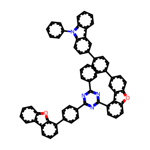 c1ccc(-c2nc(-c3ccc(-c4cccc5c4oc4ccccc45)cc3)nc(-c3cccc4oc5ccc(-c6ccc(-c7ccc8c(c7)c7ccccc7n8-c7ccccc7)cc6)cc5c34)n2)cc1